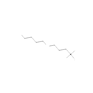 OCCCCOCCCC(F)(F)F